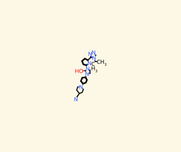 CC(C)n1cnnc1-c1cccc(N2CCN(c3ccc(N4CCC(C#N)CC4)cc3)C2O)n1